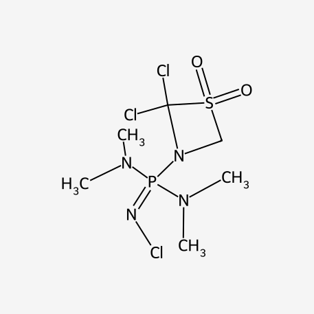 CN(C)P(=NCl)(N(C)C)N1CS(=O)(=O)C1(Cl)Cl